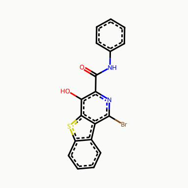 O=C(Nc1ccccc1)c1nc(Br)c2c(sc3ccccc32)c1O